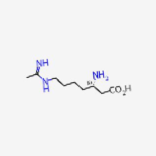 CC(=N)NCCCC[C@H](N)CC(=O)O